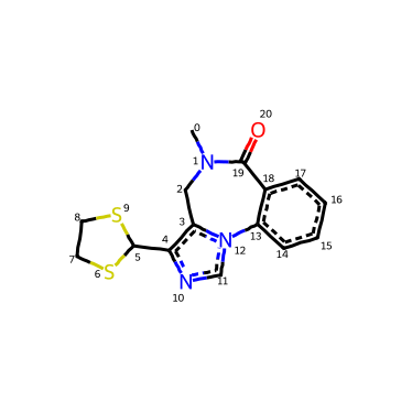 CN1Cc2c(C3SCCS3)ncn2-c2ccccc2C1=O